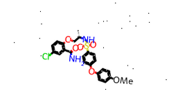 COc1ccc(Oc2ccc(S(=O)(=O)N[C@@H](C)COc3ccc(Cl)cc3C(N)=O)cc2)cc1